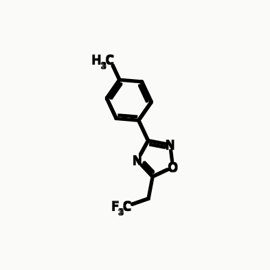 Cc1ccc(-c2noc(CC(F)(F)F)n2)cc1